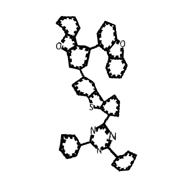 c1ccc(-c2nc(-c3ccccc3)nc(-c3cccc4c3sc3ccc(-c5cc(-c6cccc7oc8ccccc8c67)c6c(c5)oc5ccccc56)cc34)n2)cc1